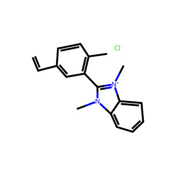 C=Cc1ccc(C)c(-c2n(C)c3ccccc3[n+]2C)c1.[Cl-]